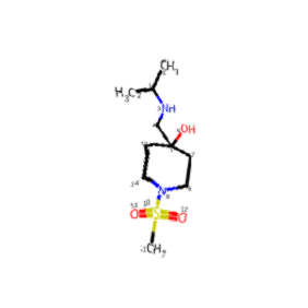 CC(C)NCC1(O)CCN(S(C)(=O)=O)CC1